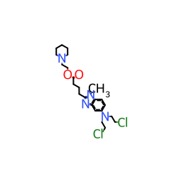 Cn1c(CCCC(=O)OCCN2CCCCC2)nc2cc(N(CCCl)CCCl)ccc21